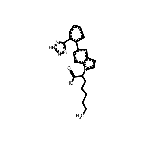 CCCCCCC(C(=O)O)n1ccc2cc(-c3ccccc3-c3nn[nH]n3)ccc21